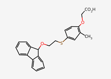 Cc1cc(SCCOC2c3ccccc3-c3ccccc32)ccc1OCC(=O)O